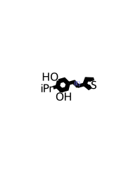 CC(C)c1c(O)cc(/C=C/c2ccsc2)cc1O